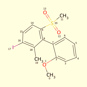 COc1ccccc1-c1c(S(C)(=O)=O)ccc(I)c1C